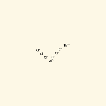 [Al+3].[Cl-].[Cl-].[Cl-].[Cl-].[Cl-].[Cl-].[Tb+3]